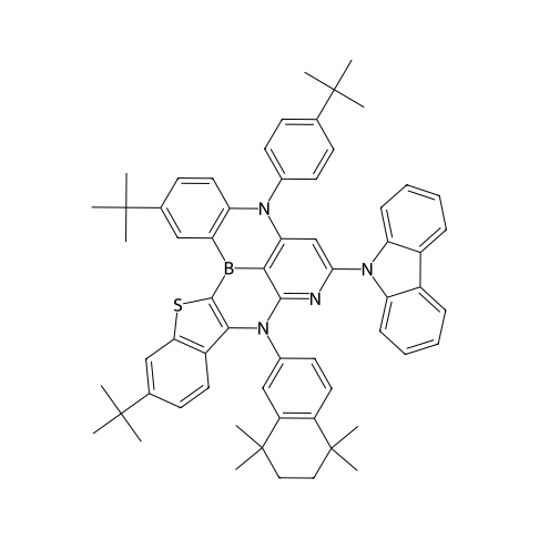 CC(C)(C)c1ccc(N2c3ccc(C(C)(C)C)cc3B3c4sc5cc(C(C)(C)C)ccc5c4N(c4ccc5c(c4)C(C)(C)CCC5(C)C)c4nc(-n5c6ccccc6c6ccccc65)cc2c43)cc1